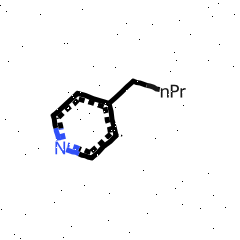 CCCCc1[c]cncc1